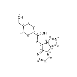 OCC1CCC(C(O)CC2c3ncccc3-c3cncn32)CC1